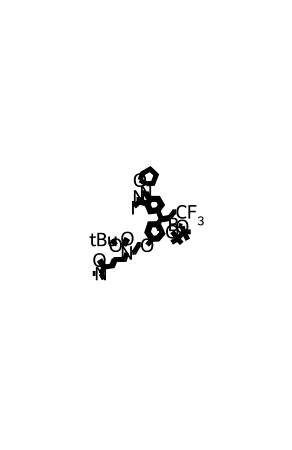 CN(C)C(=O)/C=C/CN(CCOc1ccc(/C(=C(/CC(F)(F)F)B2OC(C)(C)C(C)(C)O2)c2ccc3c(c2)c(I)nn3C2CCCCO2)cc1)C(=O)OC(C)(C)C